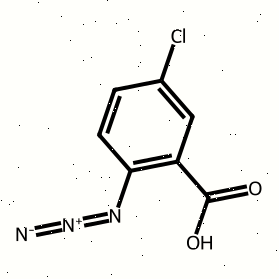 [N-]=[N+]=Nc1ccc(Cl)cc1C(=O)O